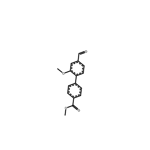 COC(=O)c1ccc(-c2ccc(C=O)cc2OC)cc1